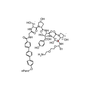 CCCCCOc1ccc(-c2ccc(-c3ccc(C(=O)NCC(=O)NC(C(=O)N4C[C@H](O)CC4C(=O)NC(C(=O)NC(C(=O)N4C[C@H](C)[C@H](O)C4C(=O)NC(CC)OCCOCCN)[C@@H](C)O)[C@H](O)[C@@H](O)c4ccc(O)cc4)[C@@H](C)O)cc3)cc2)cc1